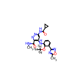 [2H]C([2H])([2H])Oc1c(Nc2cc(NC(=O)C3CC3)nnc2C(=O)NC)cccc1-c1noc(C)n1